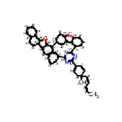 C/C=C\C=C/C1(C)C=CC(c2nc(-c3ccccc3)nc(-c3cccc4oc5ccc(-c6cccc7c6oc6c8ccccc8ccc76)cc5c34)n2)=CC1